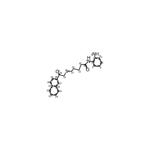 Nc1ccccc1NC(=O)CCCCSCC(=O)c1ccc2ccccc2c1